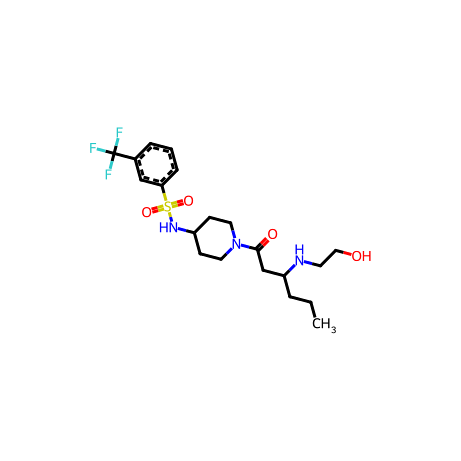 CCCC(CC(=O)N1CCC(NS(=O)(=O)c2cccc(C(F)(F)F)c2)CC1)NCCO